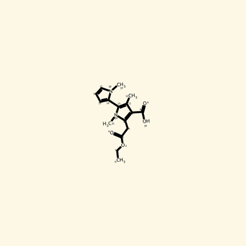 CCOC(=O)Cc1c(C(=O)O)c(C)c(-c2cccn2C)n1C